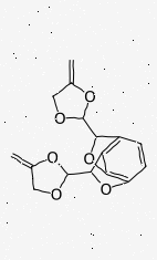 C=C1COC(C2Oc3c4ccc2c3C(C2OCC(=C)O2)O4)O1